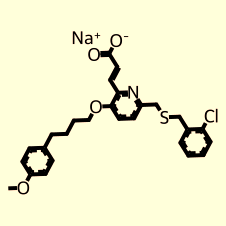 COc1ccc(CCCCOc2ccc(CSCc3ccccc3Cl)nc2/C=C/C(=O)[O-])cc1.[Na+]